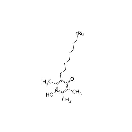 Cc1c(C)n(O)c(C)c(CCCCCCCCC(C)(C)C)c1=O